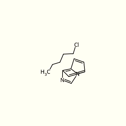 CCCCCCl.c1cc2c3cc1n2cn3